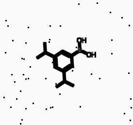 CC(C)c1cc(B(O)O)cc(C(C)C)c1